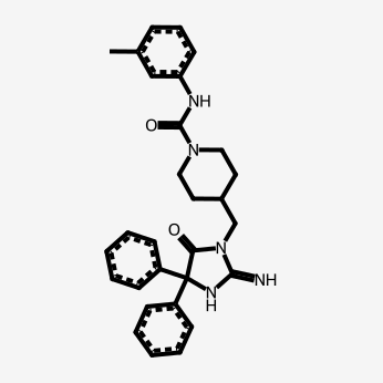 Cc1cccc(NC(=O)N2CCC(CN3C(=N)NC(c4ccccc4)(c4ccccc4)C3=O)CC2)c1